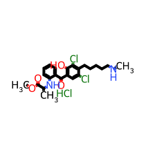 CNCCCCCc1c(Cl)cc(C(=O)c2ccccc2NC(C)C(=O)OC)c(O)c1Cl.Cl